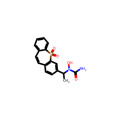 CC(c1ccc2c(c1)S(=O)(=O)c1ccccc1C=C2)N(O)C(N)=O